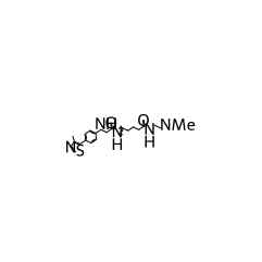 CNCCNC(=O)CCCCNC(=O)C[C@H](N)c1ccc(-c2scnc2C)cc1